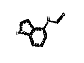 O=CNc1cccc2[nH]ccc12